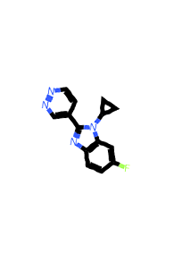 Fc1ccc2nc(-c3ccnnc3)n(C3CC3)c2c1